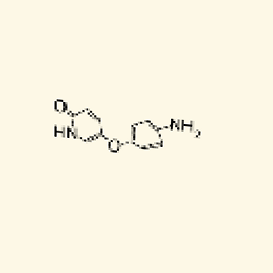 Nc1ccc(Oc2ccc(=O)[nH]c2)cc1